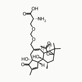 CC(=O)O[C@@]12C[C@@H](C)[C@@]3(O)[C@@H](C=C(COCOC[C@@H](N)C(=O)O)C[C@]4(O)C(=O)C(C)=C[C@@H]34)[C@H]1C2(C)C